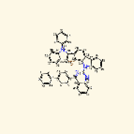 c1ccc(-c2ccc(-c3nc(-n4c5ccccc5c5ccc6c(sc7c8ccccc8n(-c8ccccc8)c67)c54)nc4ccccc34)cc2)cc1